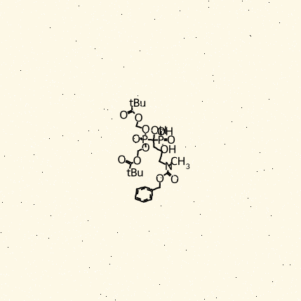 CN(CCCC(O)(P(=O)(O)O)P(=O)(OCOC(=O)C(C)(C)C)OCOC(=O)C(C)(C)C)C(=O)OCc1ccccc1